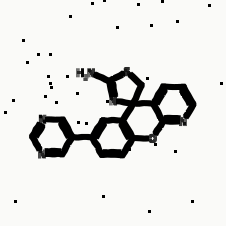 NC1=NC2(CS1)c1cc(-c3cncnc3)ccc1Oc1ncccc12